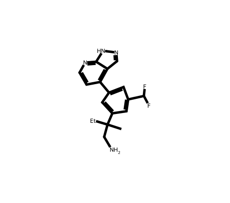 CCC(C)(CN)c1cc(-c2ccnc3[nH]ncc23)cc(C(F)F)c1